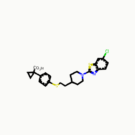 O=C(O)C1(c2ccc(SCCC3CCN(c4nc5ccc(Cl)cc5s4)CC3)cc2)CC1